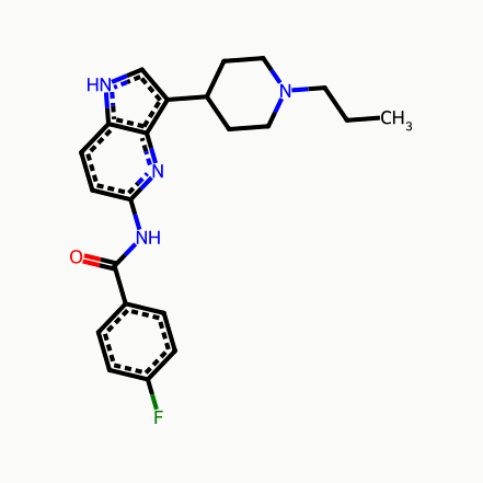 CCCN1CCC(c2c[nH]c3ccc(NC(=O)c4ccc(F)cc4)nc23)CC1